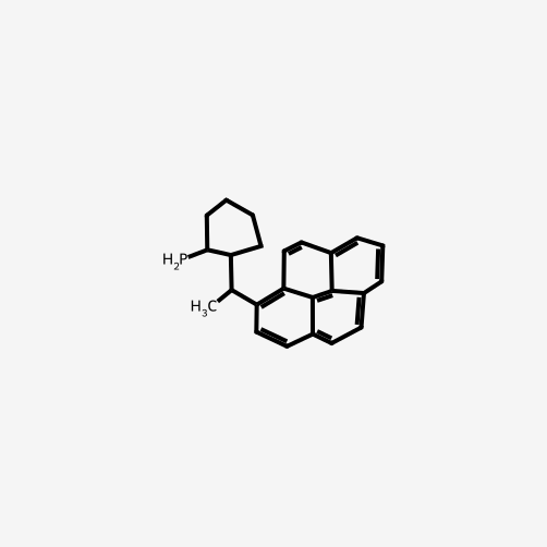 CC(c1ccc2ccc3cccc4ccc1c2c34)C1CCCCC1P